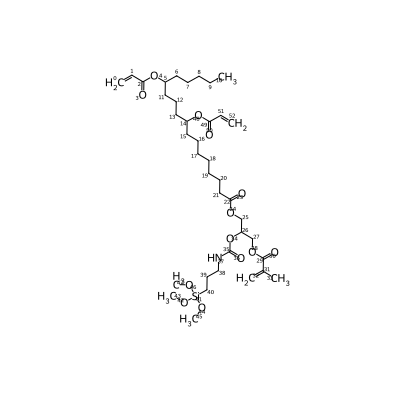 C=CC(=O)OC(CCCCC)CCCC(CCCCCCCC(=O)OCC(COC(=O)C(=C)C)OC(=O)NCCC[Si](OC)(OC)OC)OC(=O)C=C